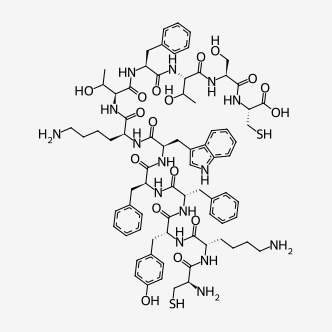 CC(O)[C@H](NC(=O)[C@H](Cc1ccccc1)NC(=O)[C@@H](NC(=O)[C@H](CCCCN)NC(=O)[C@@H](Cc1c[nH]c2ccccc12)NC(=O)[C@H](Cc1ccccc1)NC(=O)[C@H](Cc1ccccc1)NC(=O)[C@@H](Cc1ccc(O)cc1)NC(=O)[C@H](CCCCN)NC(=O)[C@@H](N)CS)C(C)O)C(=O)N[C@@H](CO)C(=O)N[C@@H](CS)C(=O)O